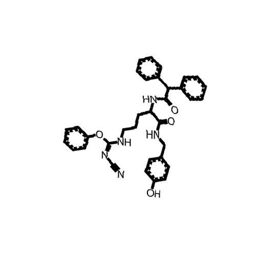 N#C/N=C(\NCCCC(NC(=O)C(c1ccccc1)c1ccccc1)C(=O)NCc1ccc(O)cc1)Oc1ccccc1